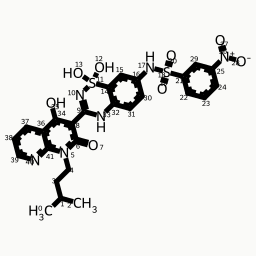 CC(C)CCn1c(=O)c(C2=NS(O)(O)c3cc(NS(=O)(=O)c4cccc([N+](=O)[O-])c4)ccc3N2)c(O)c2cccnc21